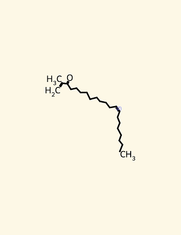 C=C(C)C(=O)CCCCCCCCC/C=C\CCCCCCCC